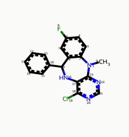 CN1c2ccc(F)cc2C(c2ccccc2)Nc2c(Cl)ncnc21